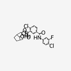 CC1(O)C2CCC1CC(S(=O)(=O)c1cc(C(=O)Nc3ccc(Cl)c(F)c3)ccc1Cl)C2